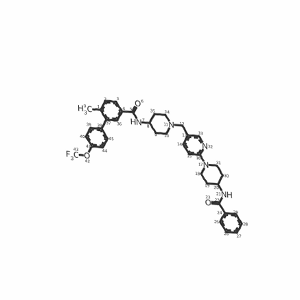 Cc1ccc(C(=O)NC2CCN(Cc3ccc(N4CCC(NC(=O)c5ccccc5)CC4)nc3)CC2)cc1-c1ccc(OC(F)(F)F)cc1